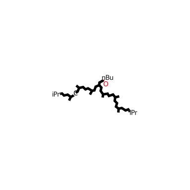 CCCCC(=O)CC(CCC(C)CCCC(C)CCCC(C)CCCC(C)C)CCC(C)CCCC(C)CCCC(C)CCCC(C)C